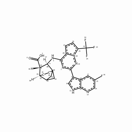 O=C(O)[C@@H]1[C@@H](Nc2nc(-c3c[nH]c4ncc(F)cc34)nn3c(C(F)(F)F)ccc23)C23CC[C@H]1C(C2)C3